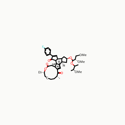 CC[C@H]1CCCC[C@@H](C)C(=O)C2=C[C@@H]3[C@@H](C4C(=O)C(c5ccc(F)cc5)=CC4C4C[C@@H](OC(OC(C)[C@@H](C)OC)[C@H](COC)OC)C[C@H]43)[C@@H]2CC(=O)O1